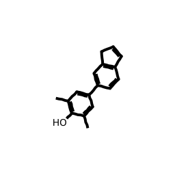 Cc1cc(-c2ccc3c(c2)CC=C3)cc(C)c1O